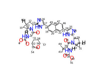 COC(=O)NC(C(=O)N1[C@@H]2C[C@@H]2C[C@H]1c1ncc(-c2ccc3cc(-c4cnc([C@@H]5C[C@H]6C[C@H]6N5C(=O)[C@@H](NC(=O)OC)C(C)C)[nH]4)ccc3c2)[nH]1)[C@H]1C[C@@H](C)O[C@@H](C)C1